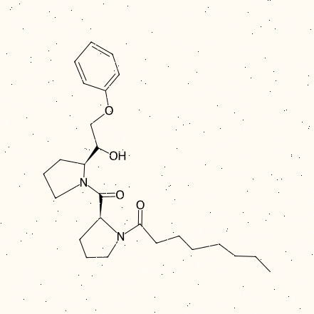 CCCCCCCC(=O)N1CCC[C@H]1C(=O)N1CCC[C@H]1C(O)COc1ccccc1